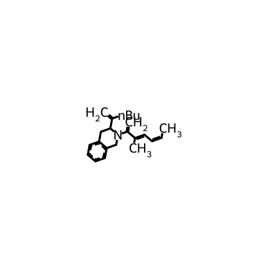 C=C(CCCC)C1Cc2ccccc2CN1C(=C)/C(C)=C/C=C\C